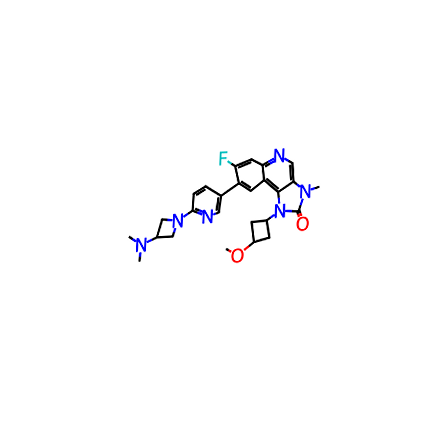 COC1CC(n2c(=O)n(C)c3cnc4cc(F)c(-c5ccc(N6CC(N(C)C)C6)nc5)cc4c32)C1